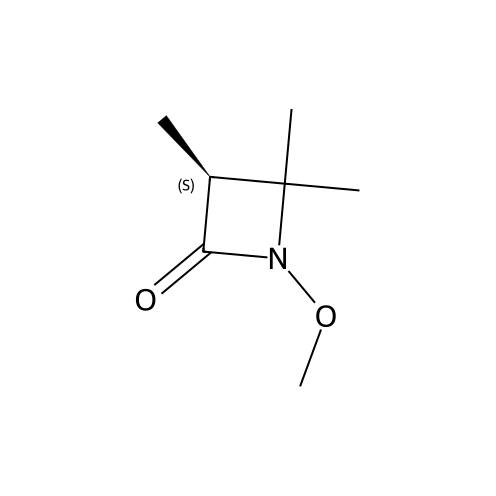 CON1C(=O)[C@@H](C)C1(C)C